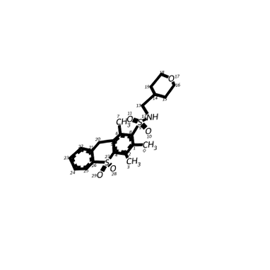 Cc1c(C)c2c(c(C)c1S(=O)(=O)NCC1CCOCC1)Cc1ccccc1S2(=O)=O